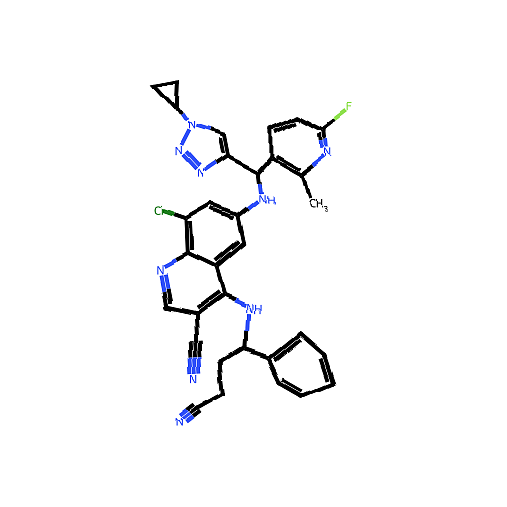 Cc1nc(F)ccc1C(Nc1cc(Cl)c2ncc(C#N)c(NC(CCC#N)c3ccccc3)c2c1)c1cn(C2CC2)nn1